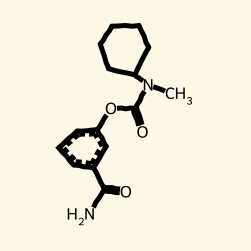 CN(C(=O)Oc1cccc(C(N)=O)c1)C1CCCCC1